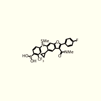 CNC(=O)c1c(-c2ccc(F)cc2)oc2cc(N(SC)c3ccc(B(O)O)c(C(F)(F)F)c3)c(C3CC3)cc12